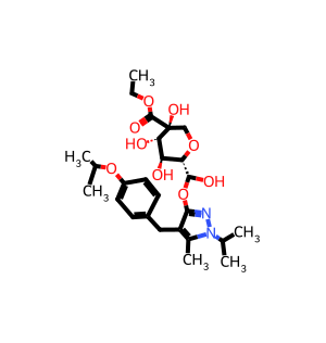 CCOC(=O)[C@]1(O)CO[C@H](C(O)Oc2nn(C(C)C)c(C)c2Cc2ccc(OC(C)C)cc2)[C@@H](O)[C@@H]1O